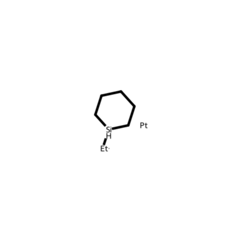 C[CH][SiH]1CCCCC1.[Pt]